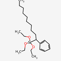 CCCCCCCCCC(c1ccccc1)[Si](OCC)(OCC)OCC